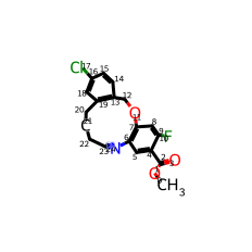 COC(=O)c1cc2c(cc1F)OCc1ccc(Cl)cc1CCC/C=N\2